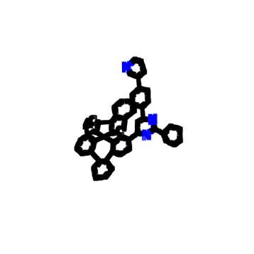 c1ccc(-c2nc(-c3ccc(-c4cccnc4)cc3)cc(-c3ccc4c(c3)C3(c5ccccc5-c5ccccc5-4)c4ccccc4-c4c3ccc3ccccc43)n2)cc1